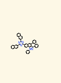 c1ccc(-c2cc3cc(-c4nc(-c5ccc6ccccc6c5)nc(-c5ccc6ccccc6c5)n4)ccc3c3c2c(-c2ccccc2)nn3-c2ccccc2)cc1